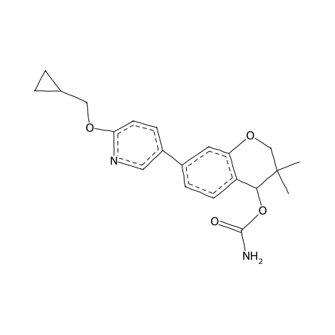 CC1(C)COc2cc(-c3ccc(OCC4CC4)nc3)ccc2C1OC(N)=O